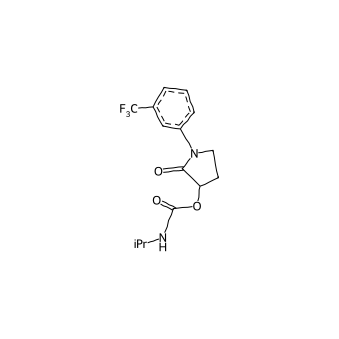 CC(C)NC(=O)OC1CCN(c2cccc(C(F)(F)F)c2)C1=O